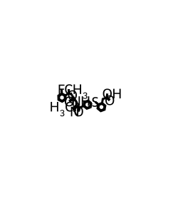 Cc1noc(-c2ccc(Sc3ccccc3CC(=O)O)cc2)c1NC(=O)OC(C)c1ccccc1F